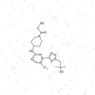 CC(C)(O)Cc1cnc(-c2nc(NC3CCN(C(=O)OC(C)(C)C)CC3)ncc2C(F)(F)F)s1